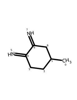 CC1CCC(=N)C(=N)C1